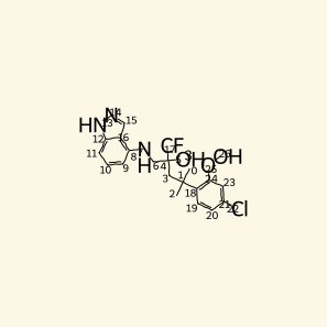 CC(C)(CC(O)(CNc1cccc2[nH]ncc12)C(F)(F)F)c1ccc(Cl)cc1OO